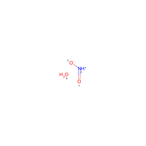 O.O=[NH+][O-]